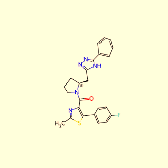 Cc1nc(C(=O)N2CCC[C@H]2Cc2nnc(-c3ccccc3)[nH]2)c(-c2ccc(F)cc2)s1